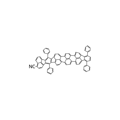 N#Cc1ccc2c3c(-c4ccccc4)c4c5ccc6c7ccc8c9ccc%10c%11c(ccc(c%12ccc(c%13ccc(c4c(-c4ccccc4)c3c3cccc1c32)c5c%136)c7c%128)c%119)-c1c(-c2ccccc2)ccc(-c2ccccc2)c1-%10